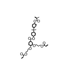 C=CC(=O)OCCCOc1ccc(C(=O)Oc2ccc(C(C)(C)c3ccc(OC(=O)C(=C)C)cc3)cc2)cc1OCCCOC(=O)C=C